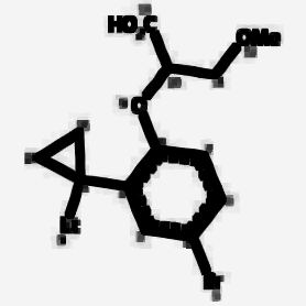 CCC1(c2cc(Br)ccc2OC(COC)C(=O)O)CC1